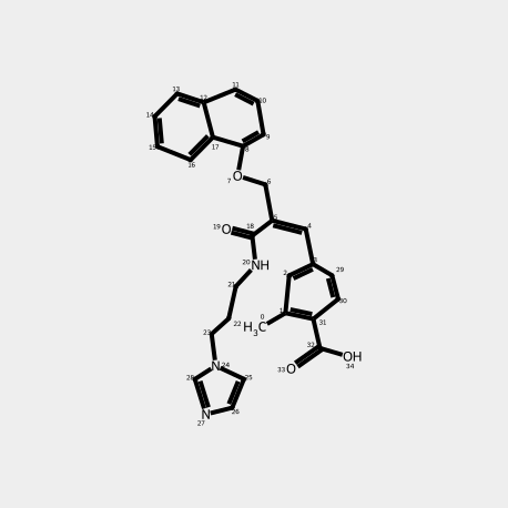 Cc1cc(C=C(COc2cccc3ccccc23)C(=O)NCCCn2ccnc2)ccc1C(=O)O